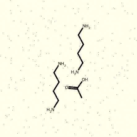 CC(=O)O.NCCCCN.NCCCCN